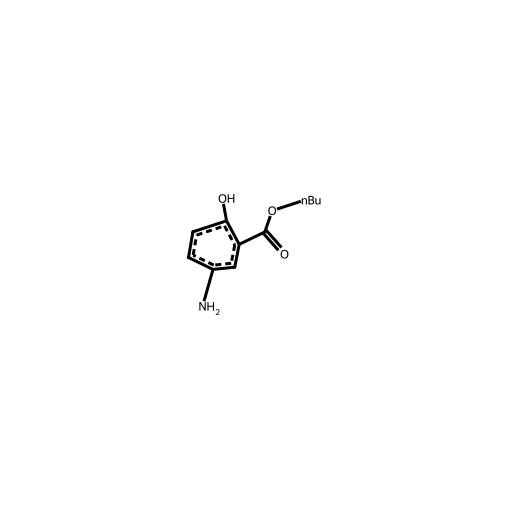 CCCCOC(=O)c1cc(N)ccc1O